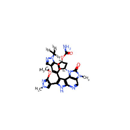 [2H]C([2H])([2H])n1ncc2cc(-c3c(-c4cn(C)nc4OC)[nH]c4ncc5c(c34)n([C@@H]3CC[C@@H](OC(N)=O)C3)c(=O)n5C)ccc21